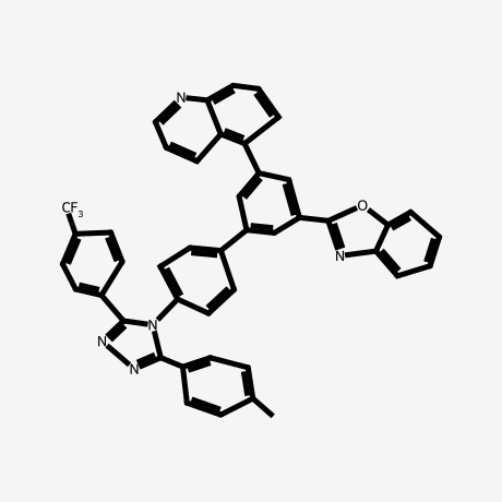 Cc1ccc(-c2nnc(-c3ccc(C(F)(F)F)cc3)n2-c2ccc(-c3cc(-c4nc5ccccc5o4)cc(-c4cccc5ncccc45)c3)cc2)cc1